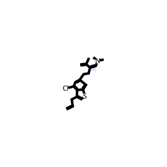 C=CCc1csc2cc(CC/C(=C/N(C)C)C(=C)C)cc(Cl)c12